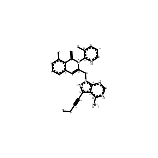 C=C1c2c(C)cccc2C=C(Cn2nc(C#CCC)c3c(N)ncnc32)N1c1ncccc1C